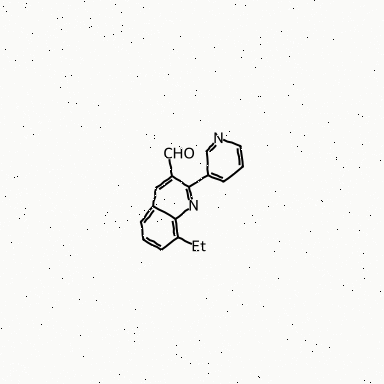 CCc1cccc2cc(C=O)c(-c3cccnc3)nc12